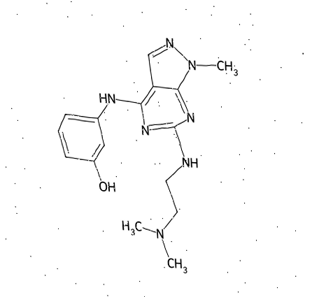 CN(C)CCNc1nc(Nc2cccc(O)c2)c2cnn(C)c2n1